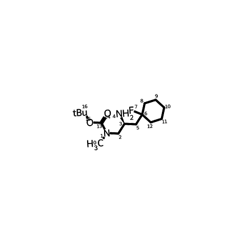 CN(C[C@@H](N)CC1(F)CCCCC1)C(=O)OC(C)(C)C